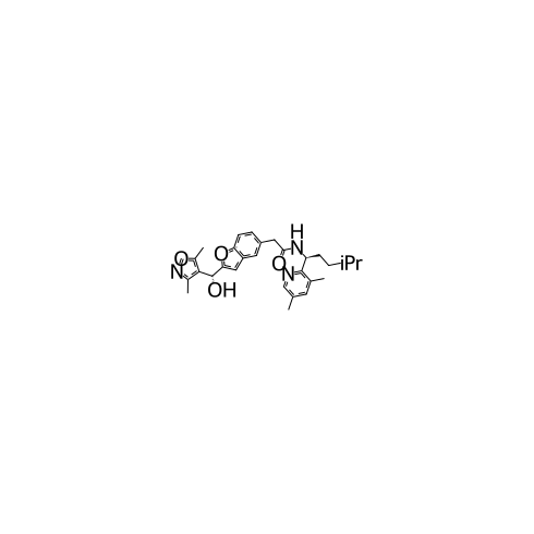 Cc1cnc([C@H](CCC(C)C)NC(=O)Cc2ccc3oc([C@H](O)c4c(C)noc4C)cc3c2)c(C)c1